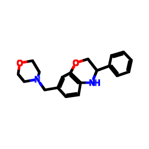 c1ccc(C2COc3cc(CN4CCOCC4)ccc3N2)cc1